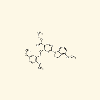 CCOC(=O)c1cnc(N2CCc3c(OC)cccc32)nc1OCc1cc(OC)ccc1OC